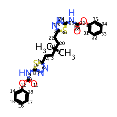 CC(C)(CCc1nnc(NC(=O)Oc2ccccc2)s1)CCc1nnc(NC(=O)Oc2ccccc2)s1